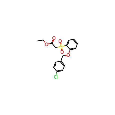 CCOC(=O)CS(=O)(=O)c1ccccc1OCc1ccc(Cl)cc1